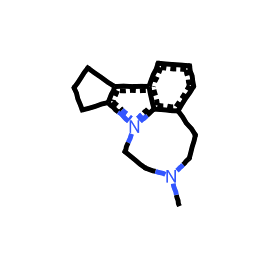 CN1CCc2cccc3c4c(n(c23)CC1)CCC4